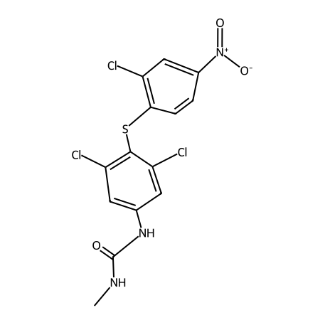 CNC(=O)Nc1cc(Cl)c(Sc2ccc([N+](=O)[O-])cc2Cl)c(Cl)c1